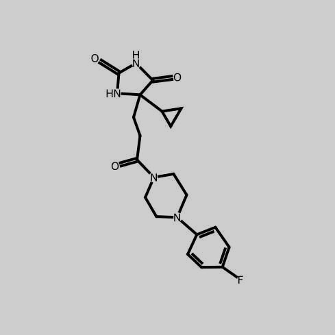 O=C1NC(=O)C(CCC(=O)N2CCN(c3ccc(F)cc3)CC2)(C2CC2)N1